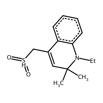 CCN1c2ccccc2C(C[SH](=O)=O)=CC1(C)C